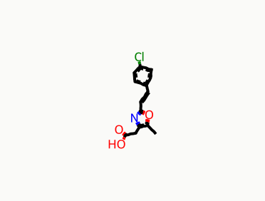 Cc1oc(C=Cc2ccc(Cl)cc2)nc1CC(=O)O